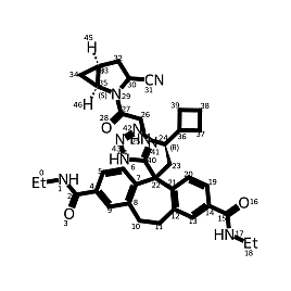 CCNC(=O)c1ccc2c(c1)CCc1cc(C(=O)NCC)ccc1C2(C[C@@H](NCC(=O)N1C(C#N)C[C@@H]2C[C@@H]21)C1CCC1)c1nnn[nH]1